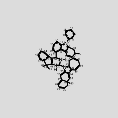 CC1C=Cc2c(n(-c3ccccc3)c3cccc(C4NC(n5c6c(c7c5=CC5=CC=CCC5(C)C=7)C=CC=CC6)NC5=C4c4ccccc4C5(C)C)c23)C1